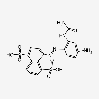 NC(=O)Nc1cc(N)ccc1N=Nc1ccc(S(=O)(=O)O)c2cccc(S(=O)(=O)O)c12